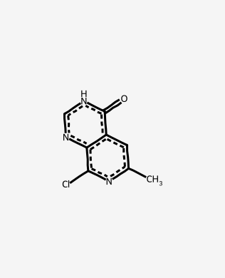 Cc1cc2c(=O)[nH]cnc2c(Cl)n1